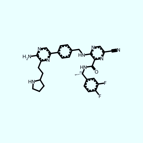 C[C@H](NC(=O)c1nc(C#N)cnc1NCc1ccc(-c2cnc(N)c(CCC3CCCN3)n2)cc1)c1ccc(F)c(F)c1